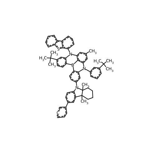 Cc1cc2c3c(c1)N(c1cccc4c1sc1ccccc14)c1cc(C(C)(C)C)ccc1B3c1ccc(N3c4ccc(-c5ccccc5)cc4C4(C)CCCCC34C)cc1N2c1cccc(C(C)(C)C)c1